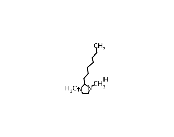 CCCCCCCC1N(C)CCN1C.I